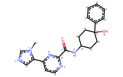 Cn1cncc1-c1ccnc(C(=O)NC2CCC(O)(c3ccccc3)CC2)n1